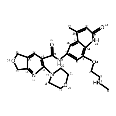 CNCCOc1cc(NC(=O)c2cc3c(nc2N2CCOCC2)COC3)cc2c(C)cc(=O)[nH]c12